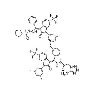 Cc1cc(C)cc(N2C(=O)/C(=C(\NNC(=O)Cn3nnnc3N)c3cccc(Cc4cc(C)cc(N5C(=O)/C(=C(\NNC(=O)C6CCCC6)c6ccccc6)c6ccc(C(F)(F)F)cc65)c4)c3)c3ccc(C(F)(F)F)cc32)c1